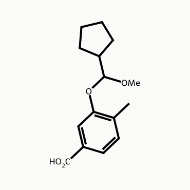 COC(Oc1cc(C(=O)O)ccc1C)C1CCCC1